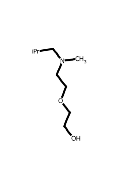 CC(C)CN(C)CCOCCO